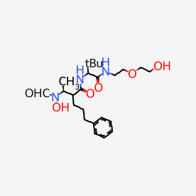 C[C@@H](C(CCCc1ccccc1)C(=O)NC(C(=O)NCCOCCO)C(C)(C)C)N(O)C=O